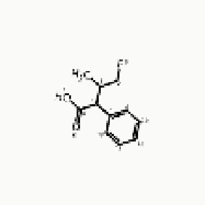 CC(CF)C(C(=O)O)c1ccccc1